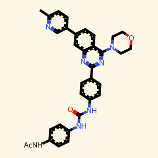 CC(=O)Nc1ccc(NC(=O)Nc2ccc(-c3nc(N4CCOCC4)c4ccc(-c5ccc(C)nc5)cc4n3)cc2)cc1